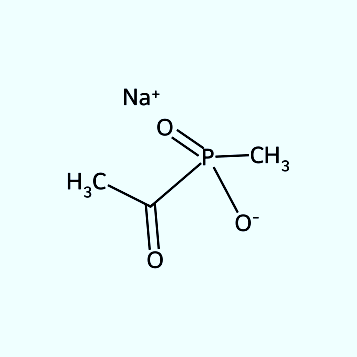 CC(=O)P(C)(=O)[O-].[Na+]